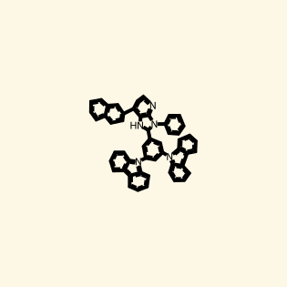 c1ccc(N2c3nccc(-c4ccc5ccccc5c4)c3NC2c2cc(-n3c4ccccc4c4ccccc43)cc(-n3c4ccccc4c4ccccc43)c2)cc1